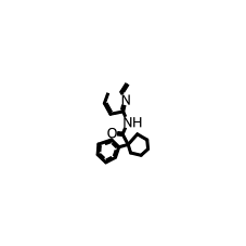 C=C/N=C(\C=C/C)NC(=O)C1(c2ccccc2)CCCCC1